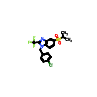 CC(C)S(=O)(=O)c1ccc2c(c1)nc(C(F)(F)F)n2Cc1ccc(Cl)cc1